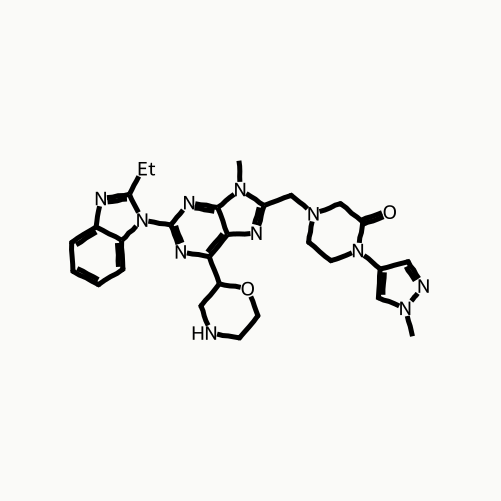 CCc1nc2ccccc2n1-c1nc(C2CNCCO2)c2nc(CN3CCN(c4cnn(C)c4)C(=O)C3)n(C)c2n1